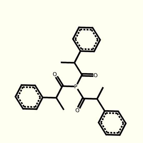 CC(C(=O)P(C(=O)C(C)c1ccccc1)C(=O)C(C)c1ccccc1)c1ccccc1